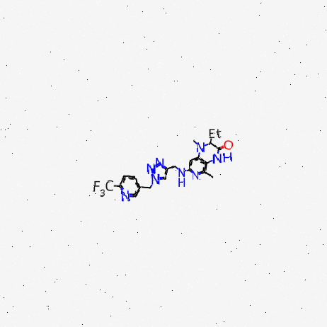 CCC1C(=O)Nc2c(cc(NCc3cn(Cc4ccc(C(F)(F)F)nc4)nn3)nc2C)N1C